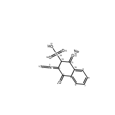 [N-]=[N+]=C1C(=O)c2ccccc2C(=O)C1S(=O)(=O)O.[Na]